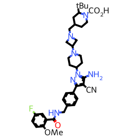 COc1ccc(F)cc1C(=O)NCc1ccc(-c2nn(C3CCN(C4CN(CC5CCN(C(=O)O)C(C(C)(C)C)C5)C4)CC3)c(N)c2C#N)cc1